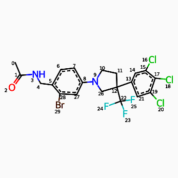 CC(=O)NCc1ccc(N2CCC(c3cc(Cl)c(Cl)c(Cl)c3)(C(F)(F)F)C2)cc1Br